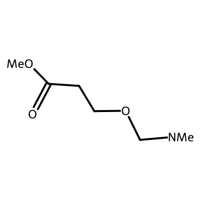 CNCOCCC(=O)OC